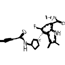 CC#CC(=O)NC1CC[C@@H](c2c(F)cc(C(N)=O)c3[nH]c(C)c(C)c23)C1